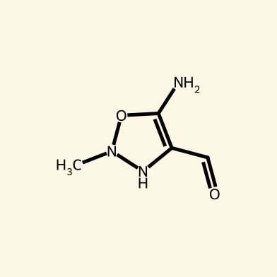 CN1NC(C=O)=C(N)O1